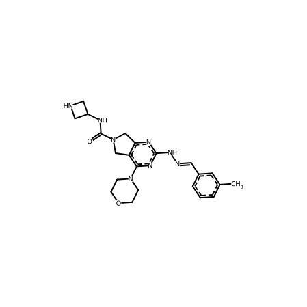 Cc1cccc(/C=N/Nc2nc3c(c(N4CCOCC4)n2)CN(C(=O)NC2CNC2)C3)c1